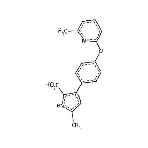 Cc1cccc(Oc2ccc(-c3cc(C)[nH]c3C(=O)O)cc2)n1